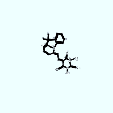 CCN1C(=O)C(=CC=C2C=CC=C3N2c2ccccc2C3(C)C)C(=O)N(CC)C1=S